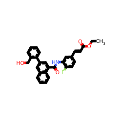 CCOC(=O)/C=C/c1ccc(F)c(NC(=O)c2cc(-c3ccccc3CO)cc3ccccc23)c1